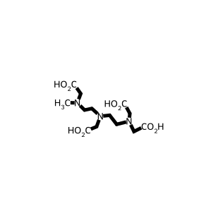 CN(CCN(CCN(CC(=O)O)CC(=O)O)CC(=O)O)CC(=O)O